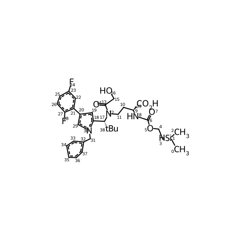 C[SiH](C)CCOC(=O)N[C@@H](CCN(C(=O)CO)[C@@H](c1cc(-c2cc(F)ccc2F)cn1Cc1ccccc1)C(C)(C)C)C(=O)O